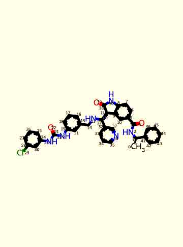 C[C@@H](NC(=O)c1ccc2c(c1)/C(=C(/NCc1cccc(NC(=O)Nc3cccc(Cl)c3)c1)c1cccnc1)C(=O)N2)c1ccccc1